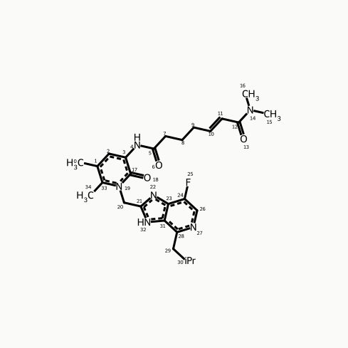 Cc1cc(NC(=O)CCC/C=C/C(=O)N(C)C)c(=O)n(Cc2nc3c(F)cnc(CC(C)C)c3[nH]2)c1C